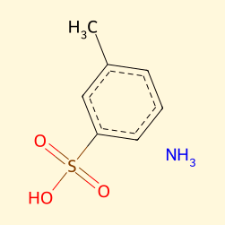 Cc1cccc(S(=O)(=O)O)c1.N